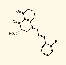 O=C1CCCC2=C1C(=O)C(C(=O)O)CN2C/C=C/c1ccccc1F